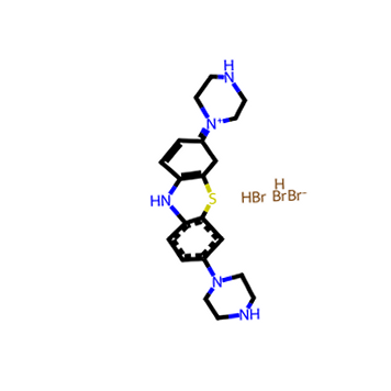 Br.Br.C1=CC(=[N+]2CCNCC2)CC2=C1Nc1ccc(N3CCNCC3)cc1S2.[Br-]